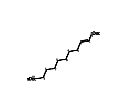 [CH2]CCCCCCCCCC=CCCCCCCCCCCCCCCCC[CH2]